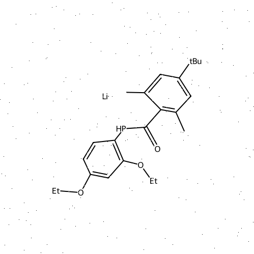 CCOc1ccc(PC(=O)c2c(C)cc(C(C)(C)C)cc2C)c(OCC)c1.[Li]